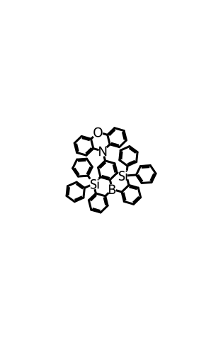 c1ccc([Si]2(c3ccccc3)c3ccccc3B3c4ccccc4[Si](c4ccccc4)(c4ccccc4)c4cc(N5c6ccccc6Oc6ccccc65)cc2c43)cc1